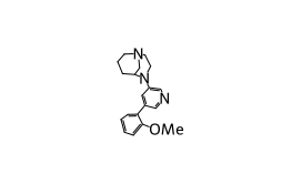 COc1ccccc1-c1cncc(N2CCN3CCCC2C3)c1